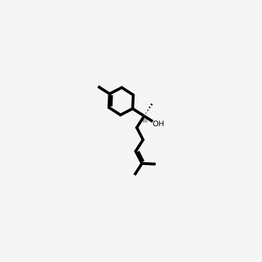 CC(C)=CCC[C@](C)(O)C1CC=C(C)CC1